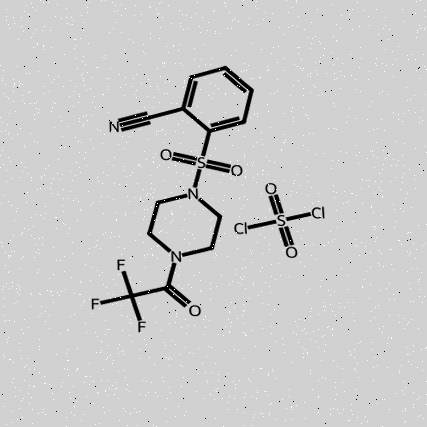 N#Cc1ccccc1S(=O)(=O)N1CCN(C(=O)C(F)(F)F)CC1.O=S(=O)(Cl)Cl